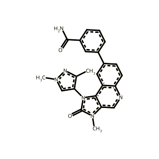 Cc1nn(C)cc1-n1c(=O)n(C)c2cnc3ccc(-c4cccc(C(N)=O)c4)cc3c21